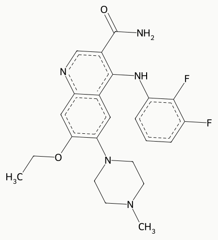 CCOc1cc2ncc(C(N)=O)c(Nc3cccc(F)c3F)c2cc1N1CCN(C)CC1